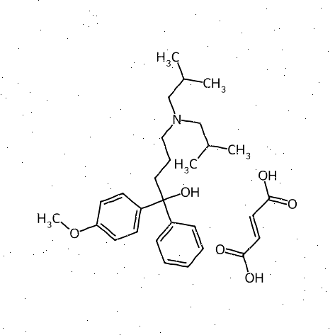 COc1ccc(C(O)(CCCN(CC(C)C)CC(C)C)c2ccccc2)cc1.O=C(O)C=CC(=O)O